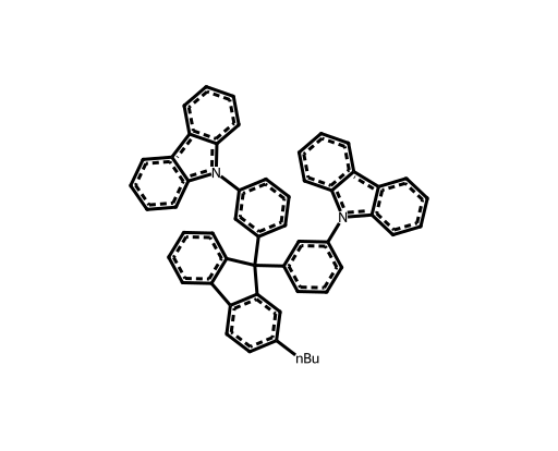 CCCCc1ccc2c(c1)C(c1cccc(-n3c4ccccc4c4ccccc43)c1)(c1cccc(-n3c4ccccc4c4ccccc43)c1)c1ccccc1-2